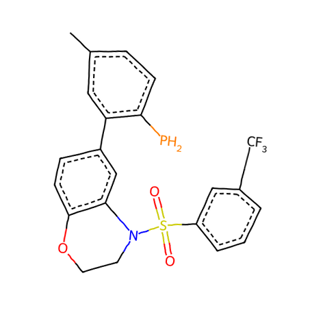 Cc1ccc(P)c(-c2ccc3c(c2)N(S(=O)(=O)c2cccc(C(F)(F)F)c2)CCO3)c1